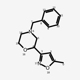 Cc1cc(C2CN(Cc3ccccc3)CCO2)no1